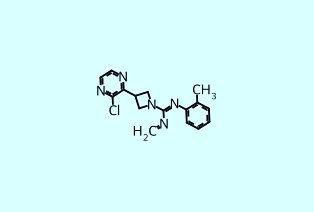 C=N/C(=N\c1ccccc1C)N1CC(c2nccnc2Cl)C1